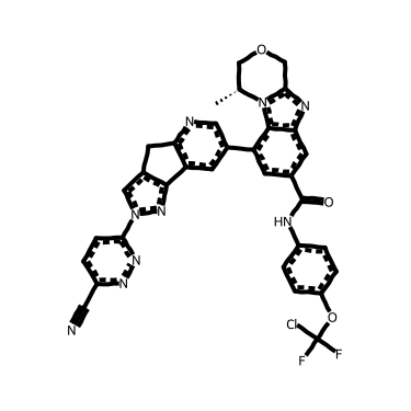 C[C@@H]1COCc2nc3cc(C(=O)Nc4ccc(OC(F)(F)Cl)cc4)cc(-c4cnc5c(c4)-c4nn(-c6ccc(C#N)nn6)cc4C5)c3n21